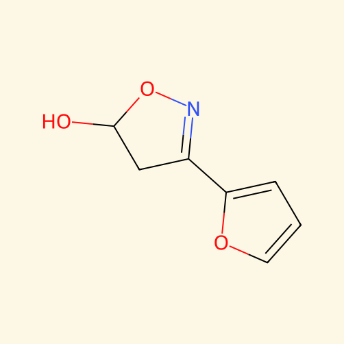 OC1CC(c2ccco2)=NO1